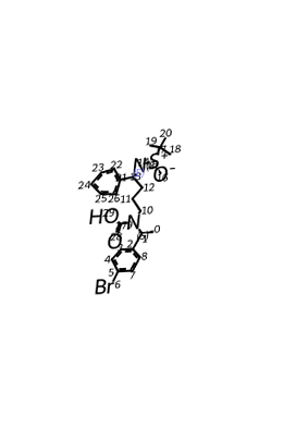 C[C@@H](c1ccc(Br)cc1)N(CCC/C(=N\[S@+]([O-])C(C)(C)C)c1ccccc1)C(=O)O